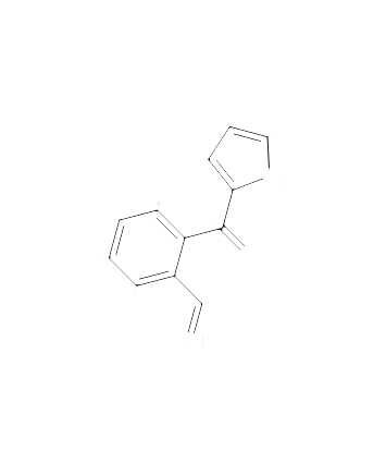 C=Cc1ccccc1C(=O)c1cccs1